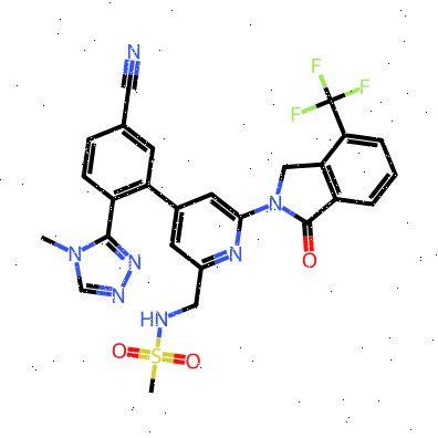 Cn1cnnc1-c1ccc(C#N)cc1-c1cc(CNS(C)(=O)=O)nc(N2Cc3c(cccc3C(F)(F)F)C2=O)c1